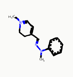 CN(N=CC1=CC=[N+](C)CC1)c1ccccc1